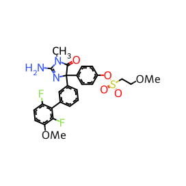 COCCS(=O)(=O)Oc1ccc(C2(c3cccc(-c4c(F)ccc(OC)c4F)c3)N=C(N)N(C)C2=O)cc1